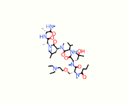 CCCC(=O)N(C)[C@H](COCCN(CC)CC)C(=O)N(C)[C@@H](CC(C)(C)O)C(=O)N[C@H](C(=O)N(C)[C@@H](CC(C)C)C(=O)N[C@H](C)C(=O)N[C@H](C)C(=O)NC)C(C)C